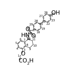 O=C(O)COc1cccc2c1CCC[C@H]2NS(=O)(=O)c1ccc(-c2ccc(O)cc2)cc1